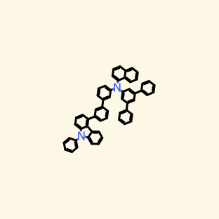 c1ccc(-c2cc(-c3ccccc3)cc(N(c3cccc(-c4cccc(-c5cccc6c5c5ccccc5n6-c5ccccc5)c4)c3)c3cccc4ccccc34)c2)cc1